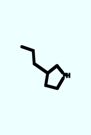 CCCC1CCPC1